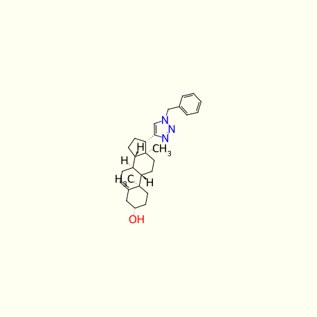 C[C@]12CC[C@H]3[C@@H](CC=C4C[C@@H](O)CC[C@@]43C)[C@@H]1CC[C@@H]2c1cn(Cc2ccccc2)nn1